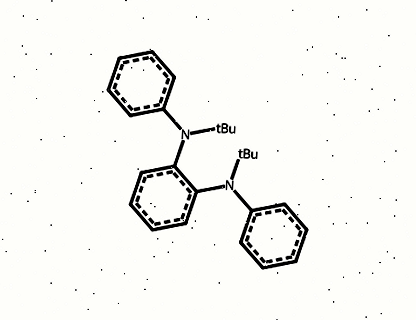 CC(C)(C)N(c1ccccc1)c1ccccc1N(c1ccccc1)C(C)(C)C